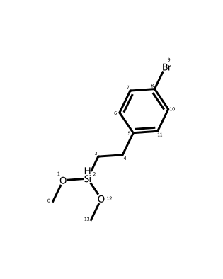 CO[SiH](CCc1ccc(Br)cc1)OC